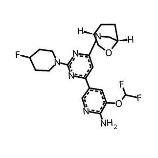 Nc1ncc(-c2cc(N3C[C@@H]4CC[C@H]3CO4)nc(N3CCC(F)CC3)n2)cc1OC(F)F